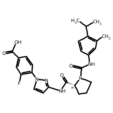 Cc1cc(NC(=O)N2CCC[C@@H]2C(=O)Nc2ccn(-c3ccc(C(=O)O)cc3F)n2)ccc1C(C)C